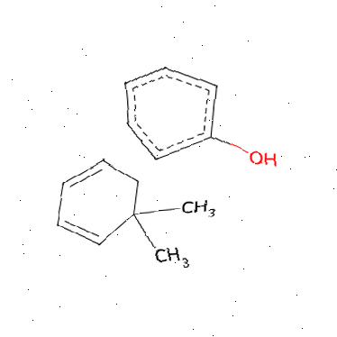 CC1(C)C=CC=CC1.Oc1ccccc1